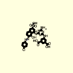 Nc1nc(Nc2cc(C(=O)O)cc(C(=O)O)c2)nc(Nc2cc(S(=O)(=O)O)cc3ccc(/N=N/c4ccc(Cl)cc4)c(O)c23)n1